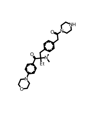 CCC(Cc1ccc(CC(=O)N2CCNCC2)cc1)(C(=O)c1ccc(N2CCOCC2)cc1)N(C)C